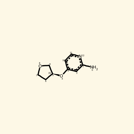 Nc1cc(O[C@H]2CCOC2)ccn1